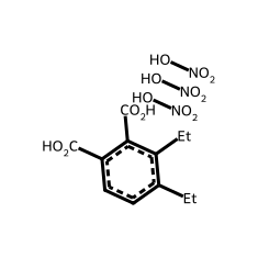 CCc1ccc(C(=O)O)c(C(=O)O)c1CC.O=[N+]([O-])O.O=[N+]([O-])O.O=[N+]([O-])O